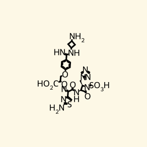 N=C(NC1CC(N)C1)c1ccc(OCC(O/N=C(\C(=O)N[C@@H]2C(=O)N(S(=O)(=O)O)[C@@H]2Cn2cncn2)c2csc(N)n2)C(=O)O)cc1